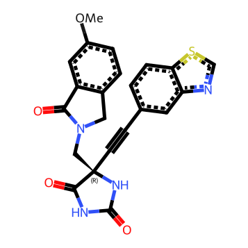 COc1ccc2c(c1)C(=O)N(C[C@@]1(C#Cc3ccc4scnc4c3)NC(=O)NC1=O)C2